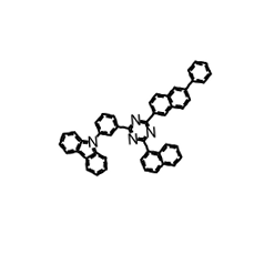 c1ccc(-c2ccc3cc(-c4nc(-c5cccc(-n6c7ccccc7c7ccccc76)c5)nc(-c5cccc6ccccc56)n4)ccc3c2)cc1